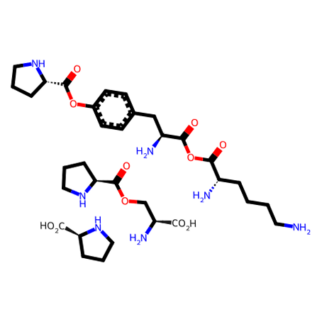 NCCCC[C@H](N)C(=O)OC(=O)[C@@H](N)Cc1ccc(OC(=O)[C@@H]2CCCN2)cc1.N[C@@H](COC(=O)[C@@H]1CCCN1)C(=O)O.O=C(O)[C@@H]1CCCN1